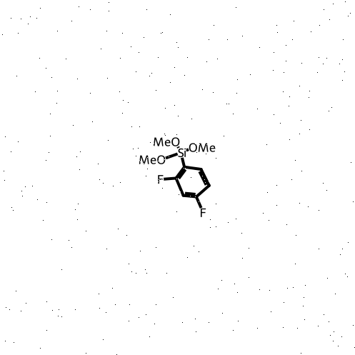 CO[Si](OC)(OC)c1ccc(F)cc1F